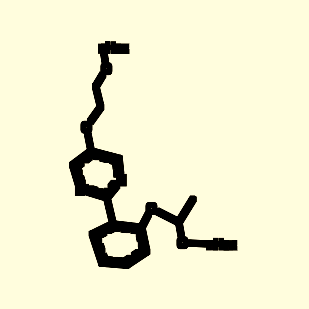 CCCCCCOCCOc1cnc(-c2ccccc2OC(C)OCCCCCC)nc1